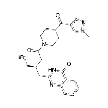 CC(C)C[C@@H](CC(=O)N1CCC(C(=O)c2cnn(C)c2)CC1)Cc1nc2ccccc2c(=O)[nH]1